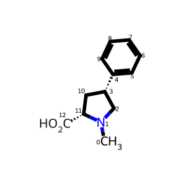 CN1C[C@@H](c2ccccc2)C[C@H]1C(=O)O